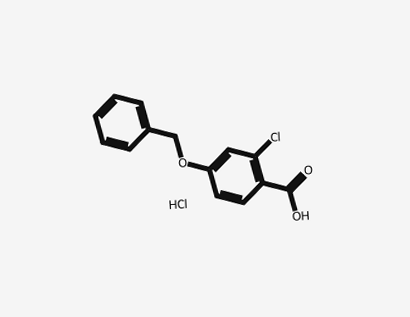 Cl.O=C(O)c1ccc(OCc2ccccc2)cc1Cl